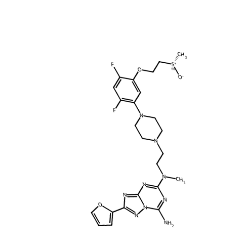 CN(CCN1CCN(c2cc(OCC[S@+](C)[O-])c(F)cc2F)CC1)c1nc(N)n2nc(-c3ccco3)nc2n1